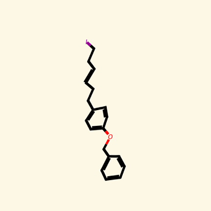 ICC/C=C/CCc1ccc(OCc2ccccc2)cc1